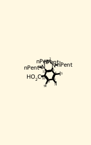 CCCCCN(CCCCC)c1c(I)c(I)c(I)c(C(=O)O)c1N(CCCCC)CCCCC